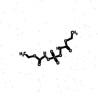 CCOC(=O)NOS(=O)(=O)ONC(=O)OCC